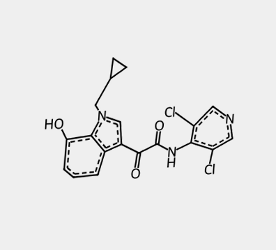 O=C(Nc1c(Cl)cncc1Cl)C(=O)c1cn(CC2CC2)c2c(O)cccc12